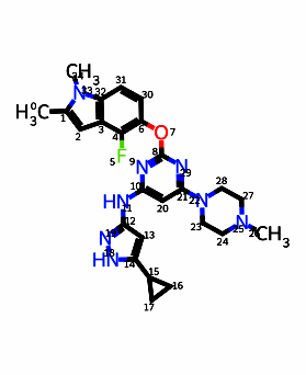 Cc1cc2c(F)c(Oc3nc(Nc4cc(C5CC5)[nH]n4)cc(N4CCN(C)CC4)n3)ccc2n1C